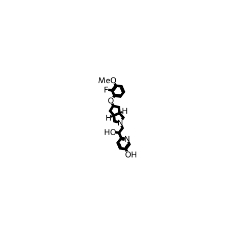 COc1cccc(OC2C[C@@H]3CN(CC(O)c4ccc(O)cn4)C[C@@H]3C2)c1F